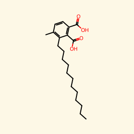 CCCCCCCCCCCCc1c(C)ccc(C(=O)O)c1C(=O)O